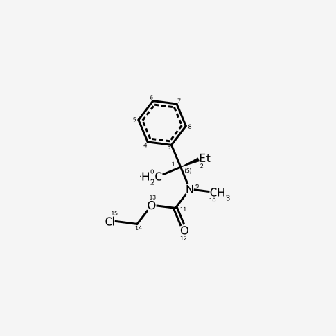 [CH2][C@](CC)(c1ccccc1)N(C)C(=O)OCCl